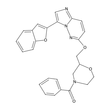 O=C(c1ccccc1)N1CCOC(COc2ccc3ncc(-c4cc5ccccc5o4)n3n2)C1